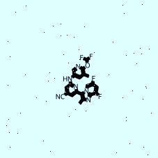 Cc1cc(Nc2cc(C#N)cc(-c3c(C)nc4c(F)cc(F)cn34)n2)cnc1OC(F)F